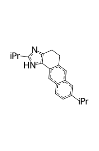 CC(C)c1ccc2cc3c(cc2c1)CCc1nc(C(C)C)[nH]c1-3